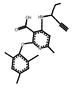 C#CC(CC)Nc1cc(C)nc(Oc2c(C)cc(C)cc2C)c1C(=O)O